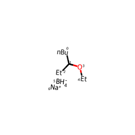 CCCCC(CC)OCC.[BH4-].[Na+]